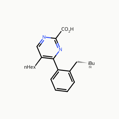 CCCCCCc1cnc(C(=O)O)nc1-c1ccccc1C[C@@H](C)CC